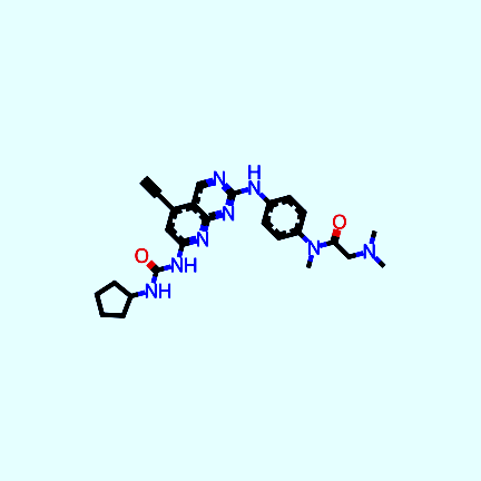 C#Cc1cc(NC(=O)NC2CCCC2)nc2nc(Nc3ccc(N(C)C(=O)CN(C)C)cc3)ncc12